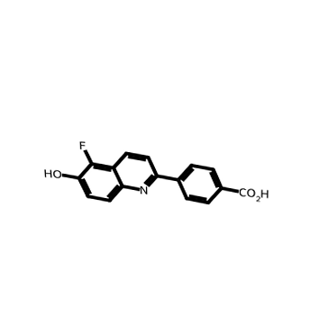 O=C(O)c1ccc(-c2ccc3c(F)c(O)ccc3n2)cc1